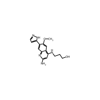 COc1cc2c(NCCCO)cc(N)nc2cc1-c1ccn[nH]1